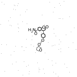 NC(=O)c1ccc2oc(=O)cc(-c3ccc(OCCOC4CCCOC4)cc3)c2c1